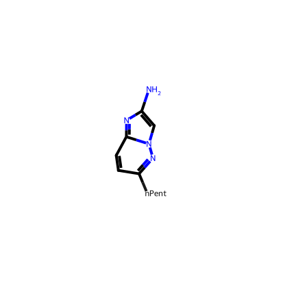 CCCCCc1ccc2nc(N)cn2n1